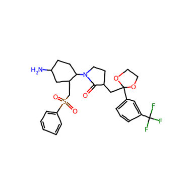 NC1CCC(N2CCC(CC3(c4cccc(C(F)(F)F)c4)OCCO3)C2=O)C(CS(=O)(=O)c2ccccc2)C1